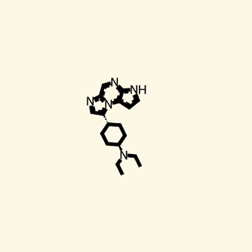 CCN(CC)[C@H]1CC[C@H](c2cnc3cnc4[nH]ccc4n32)CC1